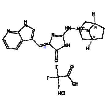 CN1[C@@H]2CC[C@H]1CC(NC1=N/C(=C\c3c[nH]c4ncccc34)C(=O)N1)C2.Cl.O=C(O)C(F)(F)F